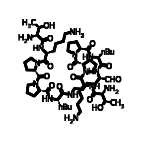 CCCC[C@H](NC(=O)[C@@H]1CCCN1C(=O)[C@@H]1CCCN1C(=O)[C@H](CCCCN)NC(=O)[C@@H](N)[C@@H](C)O)C(=O)NCCCC[C@H](C=O)NC(=O)[C@H](CCCC)NC(=O)[C@@H]1CCCN1C(=O)[C@@H]1CCCN1C(=O)[C@H](CCCCN)NC(=O)[C@@H](N)[C@@H](C)O